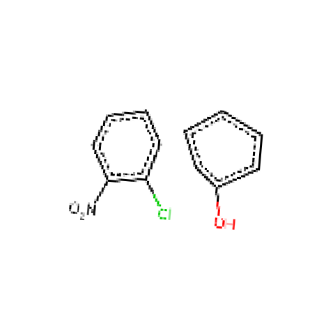 O=[N+]([O-])c1ccccc1Cl.Oc1ccccc1